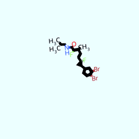 CC(C=C[C@]1(F)CC1c1ccc(Br)c(Br)c1)=C(F)C(=O)NCC(C)C